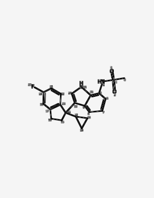 CS(=O)(=O)Nc1cccc2c(C3(C4CC4)CCc4cc(F)ccc43)c[nH]c12